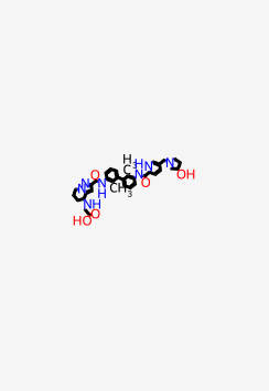 Cc1c(NC(=O)c2ccc(CN3CC[C@@H](O)C3)cn2)cccc1-c1cccc(NC(=O)c2cc3n(n2)CCCC3NCC(=O)O)c1C